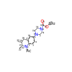 CC(=O)N1c2ccc(N3CCN(C(=O)OC(C)(C)C)CC3)cc2CC(C)[C@@H]1C